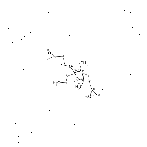 CCC[Si](OC)(OCCC1CO1)OC(C)(C)CC1CO1